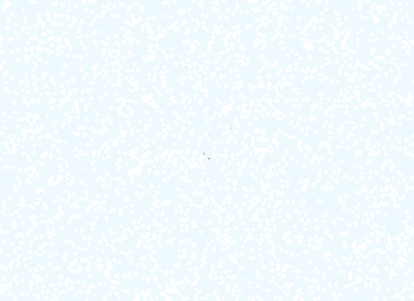 CCCC1(CC)CS(=O)(=O)c2ccccc2C(C2=CCCCC2)=N1